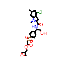 Cc1cc(Cl)c2cc(C(=O)NC(CO)c3ccc(S(=O)(=O)CC(=O)OCC4COC4)cc3)n(C)c2c1